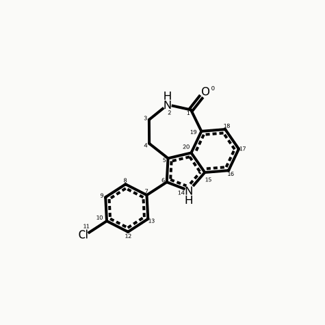 O=C1NCCc2c(-c3ccc(Cl)cc3)[nH]c3cccc1c23